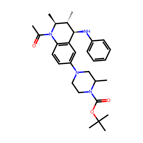 CC(=O)N1c2ccc(N3CCN(C(=O)OC(C)(C)C)C(C)C3)cc2[C@H](Nc2ccccc2)[C@@H](C)[C@@H]1C